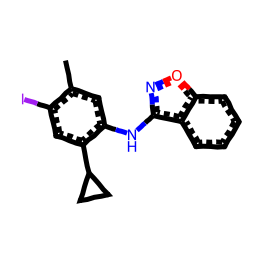 Cc1cc(Nc2noc3ccccc23)c(C2CC2)cc1I